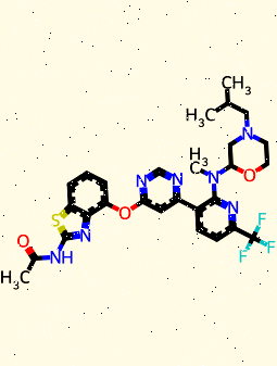 CC(=O)Nc1nc2c(Oc3cc(-c4ccc(C(F)(F)F)nc4N(C)C4CN(CC(C)C)CCO4)ncn3)cccc2s1